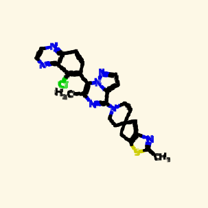 Cc1nc2c(s1)CC1(CCN(c3nc(C)c(-c4ccc5nccnc5c4Cl)n4nccc34)CC1)C2